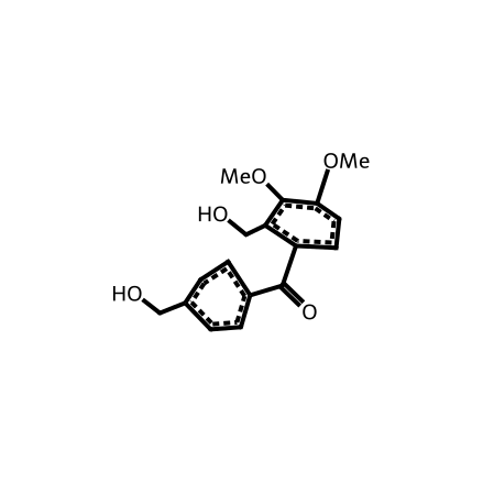 COc1ccc(C(=O)c2ccc(CO)cc2)c(CO)c1OC